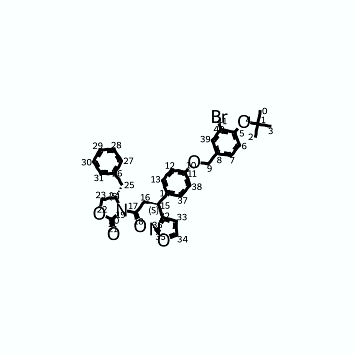 CC(C)(C)Oc1ccc(COc2ccc([C@H](CC(=O)N3C(=O)OC[C@@H]3Cc3ccccc3)c3ccon3)cc2)cc1Br